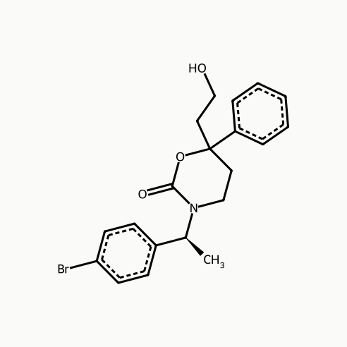 C[C@@H](c1ccc(Br)cc1)N1CCC(CCO)(c2ccccc2)OC1=O